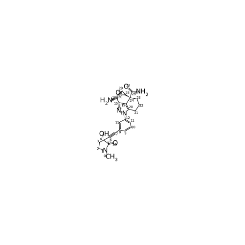 CN1CC[C@@](O)(C#Cc2cccc(-n3nc(C(N)=O)c4c3CCC[C@]4(C(N)=O)C3CC3)c2)C1=O